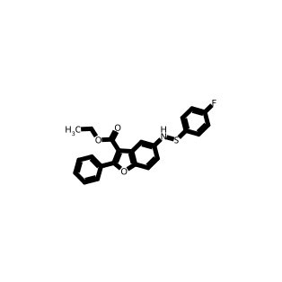 CCOC(=O)c1c(-c2ccccc2)oc2ccc(NSc3ccc(F)cc3)cc12